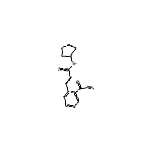 NC(=O)c1ccccc1[CH]CC(=O)NC1CCCC1